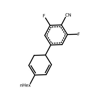 CCCCCCC1=CCC(c2cc(F)c(C#N)c(F)c2)C=C1